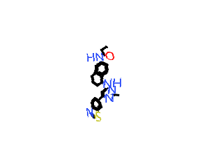 CCC(=O)Nc1ccc2c(c1)CCCC2Nc1cc(-c2ccc3ncsc3c2)nc(C)n1